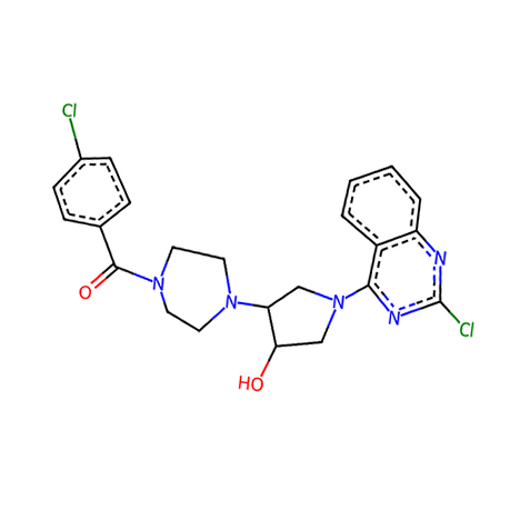 O=C(c1ccc(Cl)cc1)N1CCN(C2CN(c3nc(Cl)nc4ccccc34)CC2O)CC1